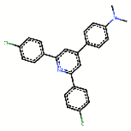 CN(C)c1ccc(-c2cc(-c3ccc(Cl)cc3)nc(-c3ccc(Cl)cc3)c2)cc1